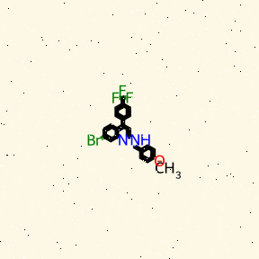 COc1ccc(CNc2cc(-c3ccc(C(F)(F)F)cc3)c3ccc(Br)cc3n2)cc1